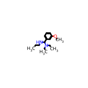 CCCN[C](c1cccc(OC)c1)N(CC)CC